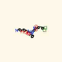 CC[C@@H](c1ccccc1)N1Cc2cc3c(cc2C[C@H]1C(=O)N[C@@H](Cc1ccc(-c2ccc(C#N)cc2)cc1)C(=O)O)N(C)C(=O)[C@H](c1ccc(Cc2ccc(Cl)c(Cl)c2)cc1)O3